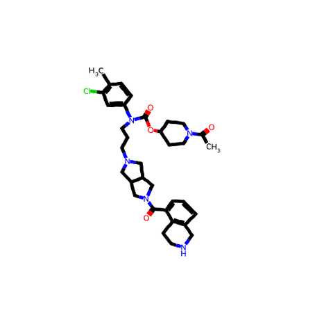 CC(=O)N1CCC(OC(=O)N(CCCN2CC3CN(C(=O)c4cccc5c4CCNC5)CC3C2)c2ccc(C)c(Cl)c2)CC1